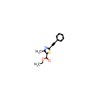 CCOC(=O)c1sc(C#Cc2ccccc2)nc1C